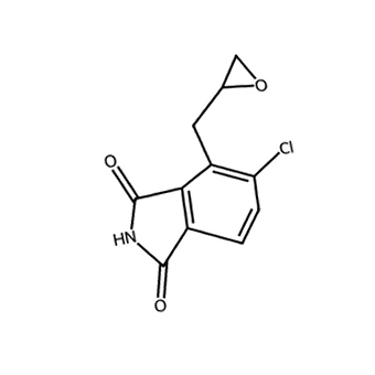 O=C1NC(=O)c2c1ccc(Cl)c2CC1CO1